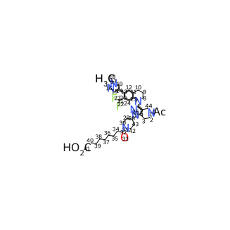 CC(=O)N1CCc2c(c(N3CCCc4cc(-c5cnn(C)c5)c(C(F)F)cc43)nn2C2CCN(C(=O)CCCCCCCC(=O)O)CC2)C1